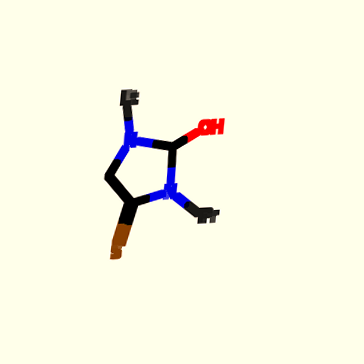 CCN1CC(=S)N(C(C)C)C1O